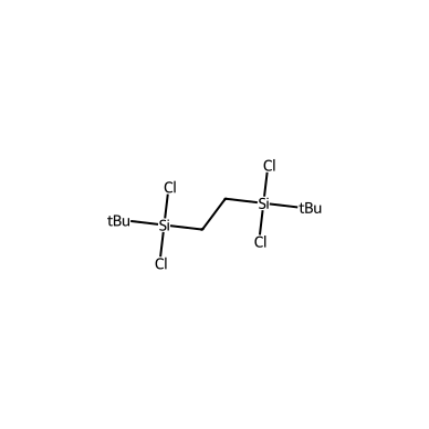 CC(C)(C)[Si](Cl)(Cl)CC[Si](Cl)(Cl)C(C)(C)C